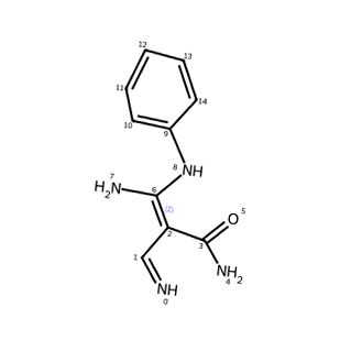 N=C/C(C(N)=O)=C(\N)Nc1ccccc1